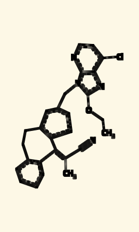 CCOc1nc2c(Cl)ccnc2n1Cc1ccc2c(c1)CCc1ccccc1C2=C(C)C#N